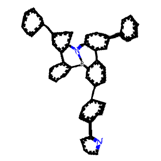 c1ccc(-c2ccc3c(c2)-c2ccccc2B2c4cc(-c5ccc(-c6ccccn6)cc5)ccc4-c4cc(-c5ccccc5)ccc4N23)cc1